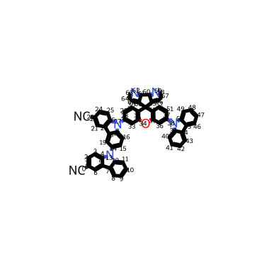 N#Cc1ccc2c(c1)c1ccccc1n2-c1ccc2c(c1)c1cc(C#N)ccc1n2-c1ccc2c(c1)Oc1cc(-n3c4ccccc4c4ccccc43)ccc1C21c2cccnc2-c2ncccc21